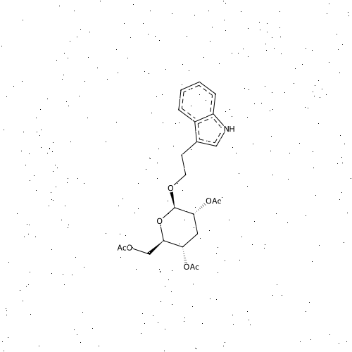 CC(=O)OC[C@H]1O[C@@H](OCCc2c[nH]c3ccccc23)[C@H](OC(C)=O)C[C@@H]1OC(C)=O